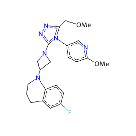 COCc1nnc(N2CC(N3CCCc4cc(F)ccc43)C2)n1-c1ccc(OC)nc1